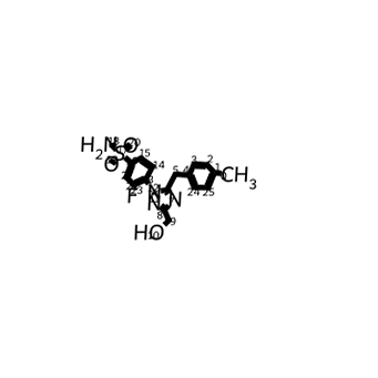 Cc1ccc(Cc2nc(CO)nn2-c2ccc(S(N)(=O)=O)cc2F)cc1